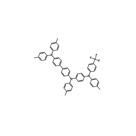 Cc1ccc(N(c2ccc(C)cc2)c2ccc(-c3ccc(N(c4ccc(C)cc4)c4ccc(N(c5ccc(C)cc5)c5ccc(C(F)(F)F)cc5)cc4)cc3)cc2)cc1